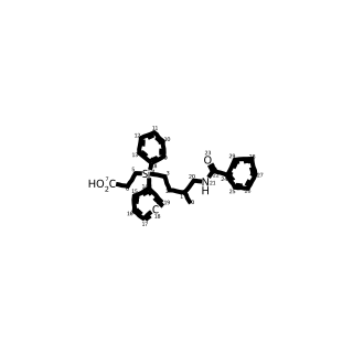 CC(CC[Si](CCC(=O)O)(c1ccccc1)c1ccccc1)CNC(=O)c1ccccc1